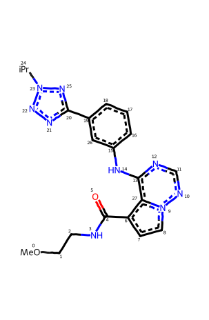 COCCNC(=O)c1ccn2ncnc(Nc3cccc(-c4nnn(C(C)C)n4)c3)c12